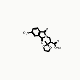 COC(=O)C(CN1C(=O)c2ccc([N+](=O)[O-])cc2C1=O)C1(C)OCCO1